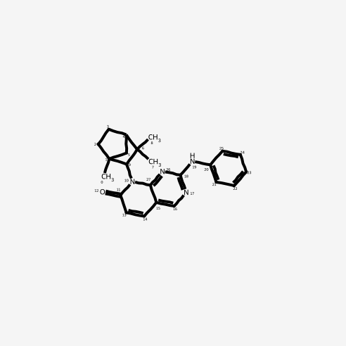 CC12CCC(C1)C(C)(C)C2n1c(=O)ccc2cnc(Nc3ccccc3)nc21